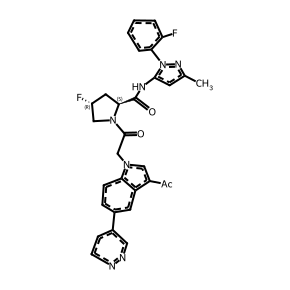 CC(=O)c1cn(CC(=O)N2C[C@H](F)C[C@H]2C(=O)Nc2cc(C)nn2-c2ccccc2F)c2ccc(-c3ccnnc3)cc12